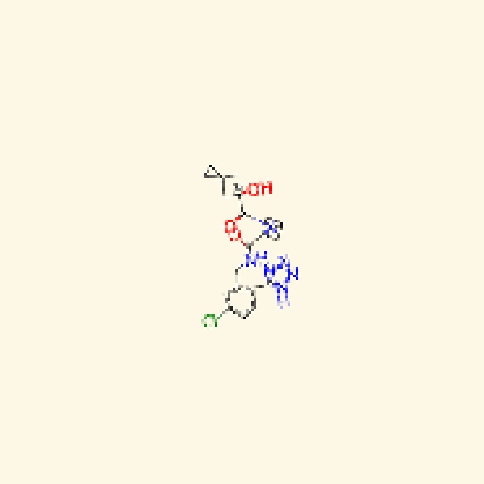 CC1(C[C@@H](O)C(=O)N2CC3CC2(C(=O)NCc2cc(Cl)ccc2-c2nnn[nH]2)C3)CC1